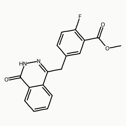 COC(=O)c1cc(Cc2n[nH]c(=O)c3ccccc23)ccc1F